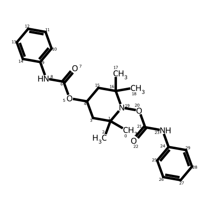 CC1(C)CC(OC(=O)Nc2ccccc2)CC(C)(C)N1OC(=O)Nc1ccccc1